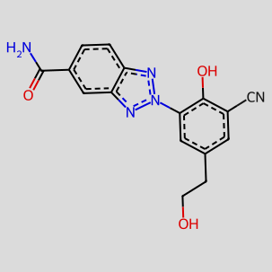 N#Cc1cc(CCO)cc(-n2nc3ccc(C(N)=O)cc3n2)c1O